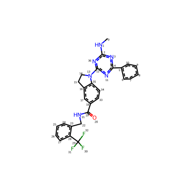 CNc1nc(-c2ccccc2)nc(N2CCc3cc(C(=O)NCc4ccccc4C(F)(F)F)ccc32)n1